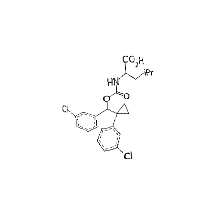 CC(C)CC(NC(=O)OC(c1cccc(Cl)c1)C1(c2cccc(Cl)c2)CC1)C(=O)O